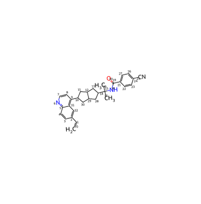 C=Cc1ccc2nccc(C3CC4CC(C(C)(C)NC(=O)c5ccc(C#N)cc5)CC4C3)c2c1